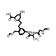 CC(NC(=O)CNC=O)C(=O)Nc1ccc(COC=O)c(CCC2CC(O)CC(C(=O)O)O2)c1